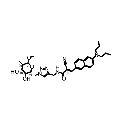 CCCN(CCC)c1ccc2cc(/C=C(\C#N)C(=O)NCc3cn(C[C@H]4O[C@H](OC)[C@H](C)[C@@H](O)[C@@H]4O)nn3)ccc2c1